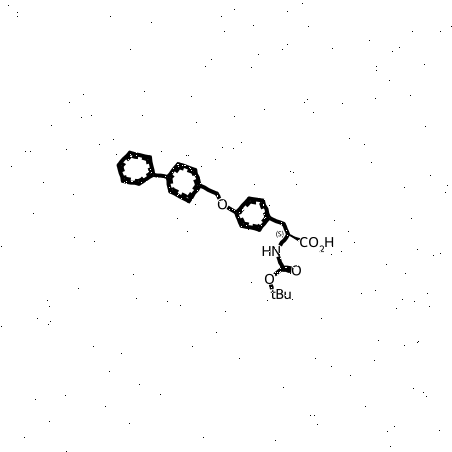 CC(C)(C)OC(=O)N[C@@H](Cc1ccc(OCc2ccc(-c3ccccc3)cc2)cc1)C(=O)O